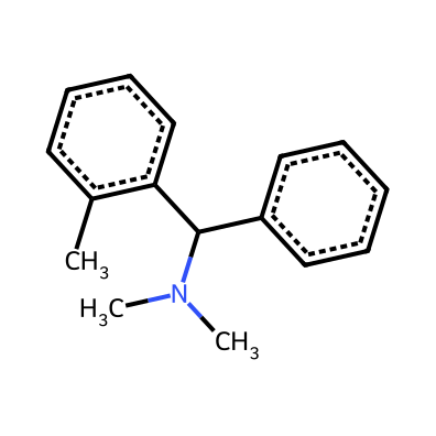 Cc1ccccc1C(c1ccccc1)N(C)C